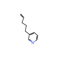 C=CCCCc1cccnc1